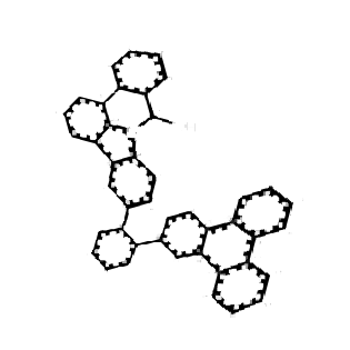 OC1c2ccccc2-c2cccc3c4cc(-c5ccccc5-c5ccc6c7ccccc7c7ccccc7c6c5)ccc4n1c23